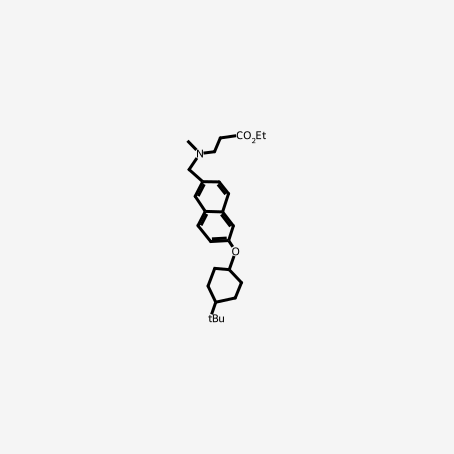 CCOC(=O)CCN(C)Cc1ccc2cc(OC3CCC(C(C)(C)C)CC3)ccc2c1